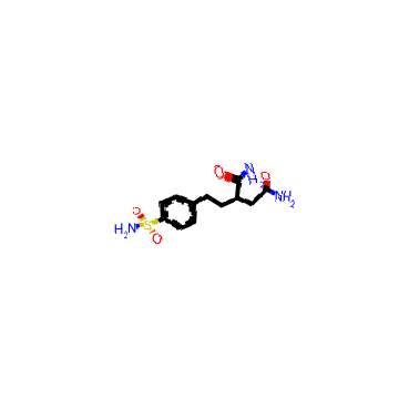 NC(=O)CC(CCc1ccc(S(N)(=O)=O)cc1)C(N)=O